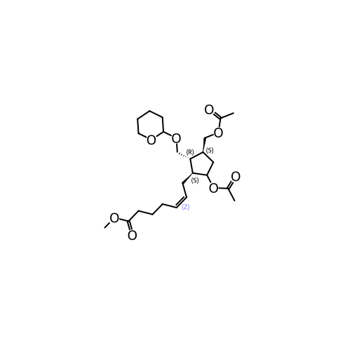 COC(=O)CCC/C=C\C[C@@H]1C(OC(C)=O)C[C@H](COC(C)=O)[C@H]1COC1CCCCO1